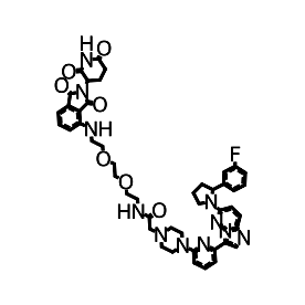 O=C(CN1CCN(c2cccc(-c3cnc4ccc(N5CCCC5c5cccc(F)c5)nn34)n2)CC1)NCCOCCOCCNc1cccc2c1C(=O)N(C1CCC(=O)NC1=O)C2=O